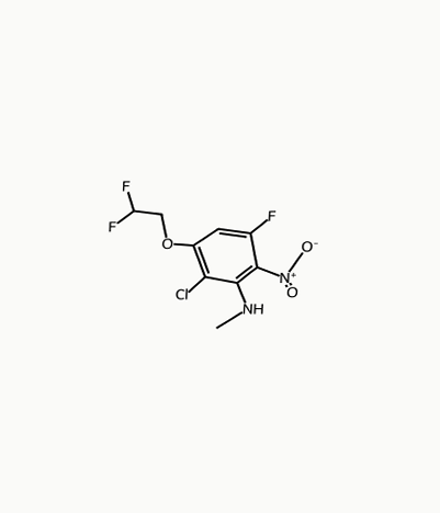 CNc1c(Cl)c(OCC(F)F)cc(F)c1[N+](=O)[O-]